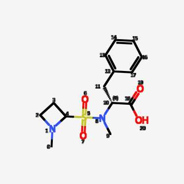 CN1CCC1S(=O)(=O)N(C)[C@H](Cc1ccccc1)C(=O)O